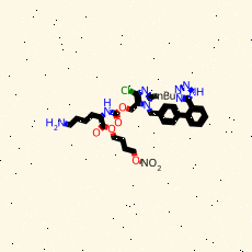 CCCCc1nc(Cl)c(COC(=O)NC(CCCCN)C(=O)OCCCCO[N+](=O)[O-])n1Cc1ccc(-c2ccccc2-c2nnn[nH]2)cc1